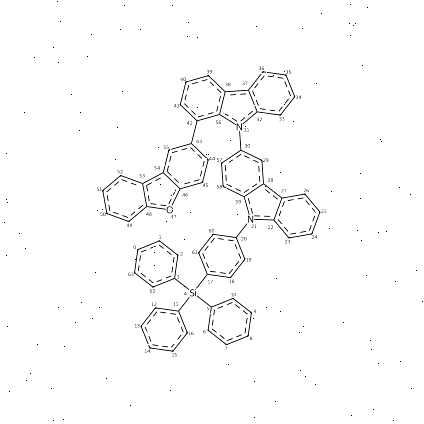 c1ccc([Si](c2ccccc2)(c2ccccc2)c2ccc(-n3c4ccccc4c4cc(-n5c6ccccc6c6cccc(-c7ccc8oc9ccccc9c8c7)c65)ccc43)cc2)cc1